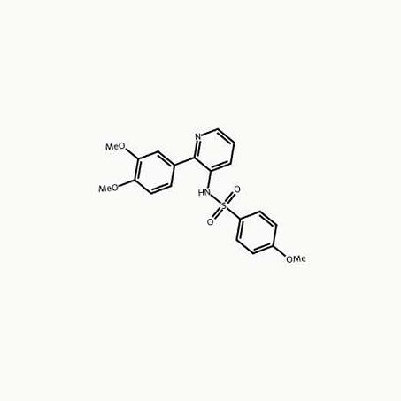 COc1ccc(S(=O)(=O)Nc2cccnc2-c2ccc(OC)c(OC)c2)cc1